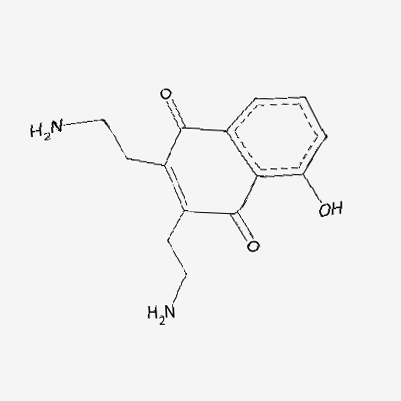 NCCC1=C(CCN)C(=O)c2c(O)cccc2C1=O